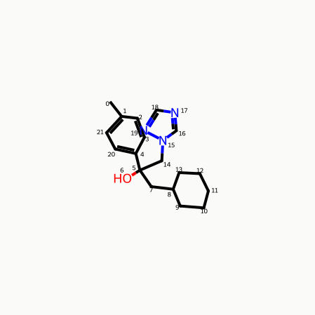 Cc1ccc(C(O)(CC2CCCCC2)Cn2cncn2)cc1